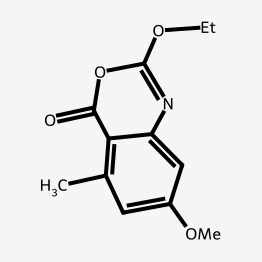 CCOc1nc2cc(OC)cc(C)c2c(=O)o1